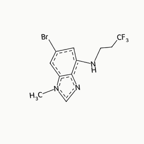 Cn1cnc2c(NCCC(F)(F)F)cc(Br)cc21